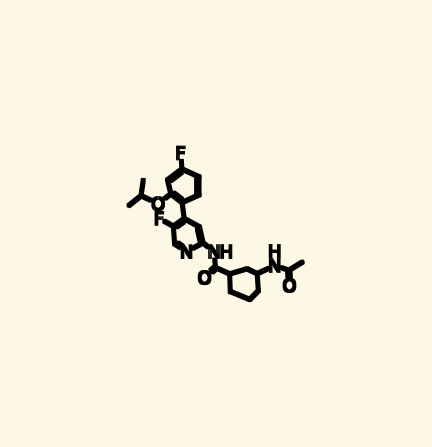 CC(=O)NC1CCCC(C(=O)Nc2cc(-c3ccc(F)cc3OC(C)C)c(F)cn2)C1